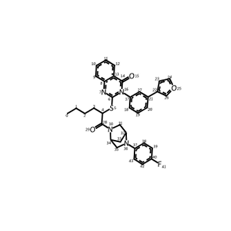 CCCCC(Sc1nc2ccccc2c(=O)n1-c1cccc(-c2ccoc2)c1)C(=O)N1CC2CC1CN2c1ccc(F)cc1